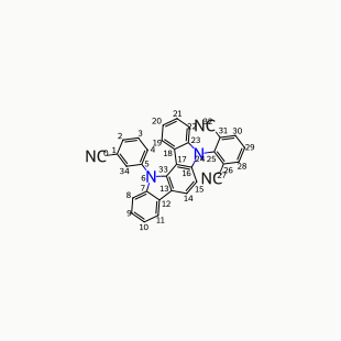 N#Cc1cccc(-n2c3ccccc3c3ccc4c(c5ccccc5n4-c4c(C#N)cccc4C#N)c32)c1